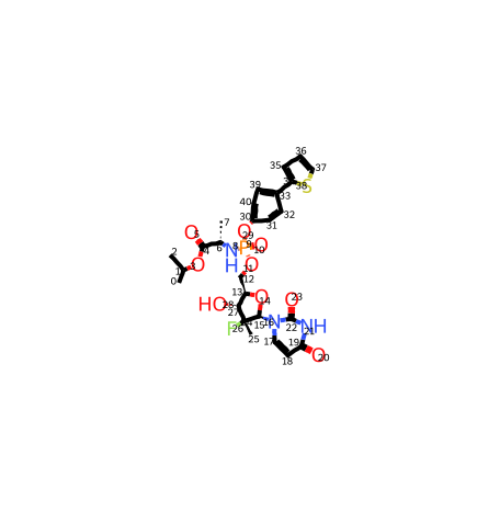 CC(C)OC(=O)[C@H](C)NP(=O)(OC[C@H]1O[C@@H](n2ccc(=O)[nH]c2=O)[C@](C)(F)[C@@H]1O)Oc1ccc(-c2cccs2)cc1